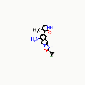 Cc1cc[nH]c(=O)c1-c1cc(N)c2cnc(NC(=O)[C@H]3C[C@H]3F)cc2c1